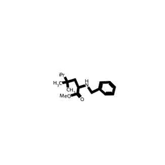 COC(=O)C(CC(C)(C)C(C)C)NCc1ccccc1